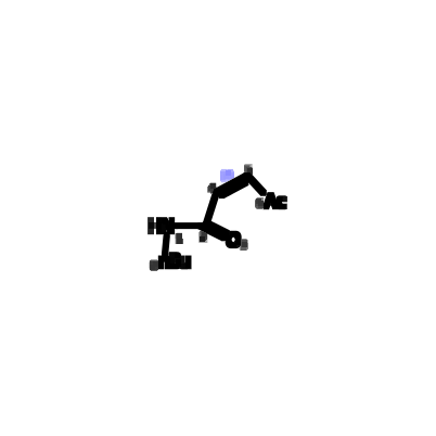 CCCCNC(=O)/C=C\C(C)=O